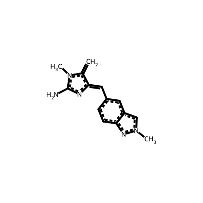 C=c1/c(=C/c2ccc3nn(C)cc3c2)nc(N)n1C